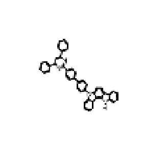 c1ccc(-c2cc(-c3ccccc3)nc(-c3ccc(-c4ccc(-n5c6ccccc6c6c7[nH]c8ccccc8c7ccc65)cc4)cc3)n2)cc1